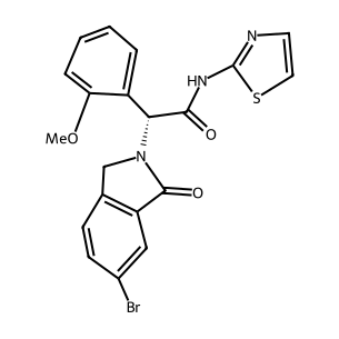 COc1ccccc1[C@H](C(=O)Nc1nccs1)N1Cc2ccc(Br)cc2C1=O